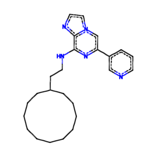 c1cncc(-c2cn3ccnc3c(NCCC3CCCCCCCCCCC3)n2)c1